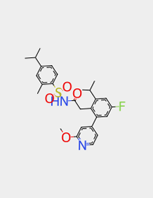 COc1cc(-c2cc(F)cc(C(C)C)c2CC(=O)NS(=O)(=O)c2ccc(C(C)C)cc2C)ccn1